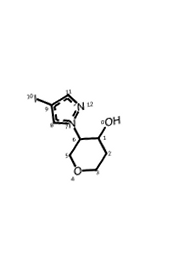 OC1CCOCC1n1cc(I)cn1